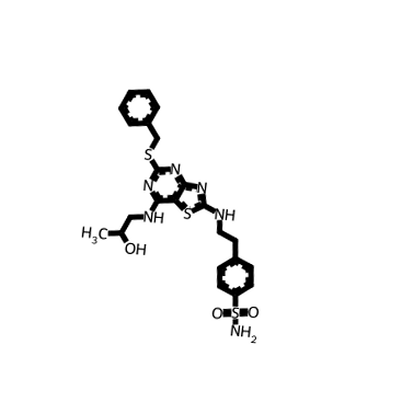 CC(O)CNc1nc(SCc2ccccc2)nc2nc(NCCc3ccc(S(N)(=O)=O)cc3)sc12